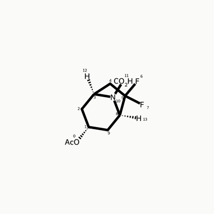 CC(=O)O[C@@H]1C[C@H]2CC(F)(F)[C@@H](C1)N2C(=O)O